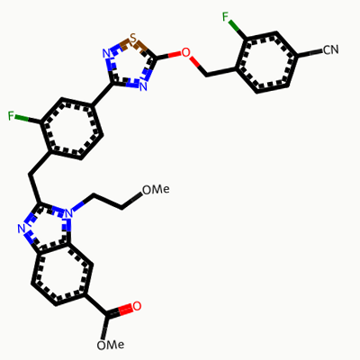 COCCn1c(Cc2ccc(-c3nsc(OCc4ccc(C#N)cc4F)n3)cc2F)nc2ccc(C(=O)OC)cc21